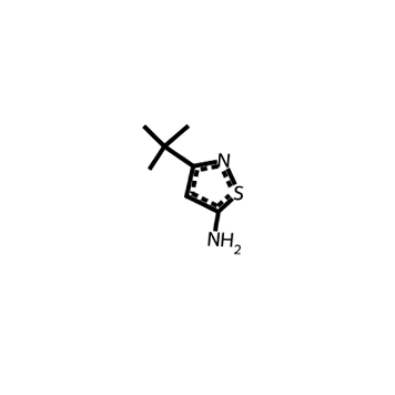 CC(C)(C)c1cc(N)sn1